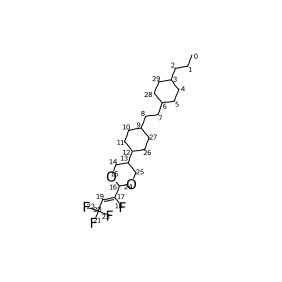 CCCC1CCC(CCC2CCC(C3COC(/C(F)=C/C(F)(F)F)OC3)CC2)CC1